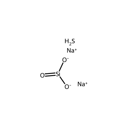 O=[Si]([O-])[O-].S.[Na+].[Na+]